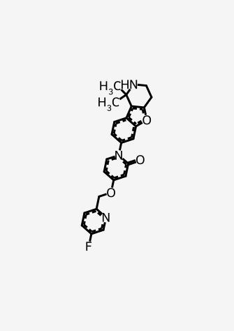 CC1(C)NCCc2oc3cc(-n4ccc(OCc5ccc(F)cn5)cc4=O)ccc3c21